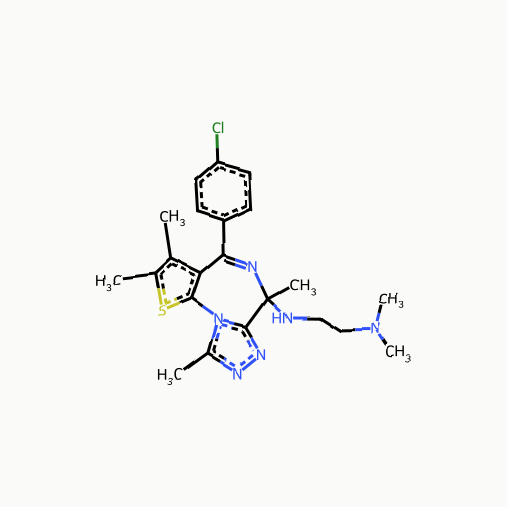 Cc1sc2c(c1C)C(c1ccc(Cl)cc1)=NC(C)(NCCN(C)C)c1nnc(C)n1-2